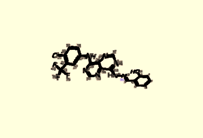 Oc1ccccc1/C=N/Nc1ncnc2c(Nc3ccc(Cl)c(C(F)(F)F)c3)ncnc12